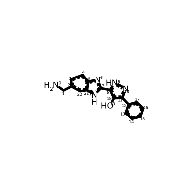 NCc1ccc2nc(-c3[nH]nc(-c4ccccc4)c3O)[nH]c2c1